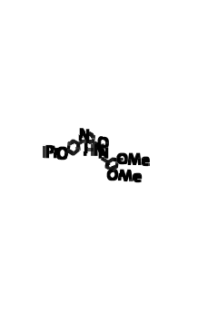 COc1cc(C=NNC(=O)c2ccnc(-c3ccc(OC(C)C)cc3)c2)cc(OC)c1